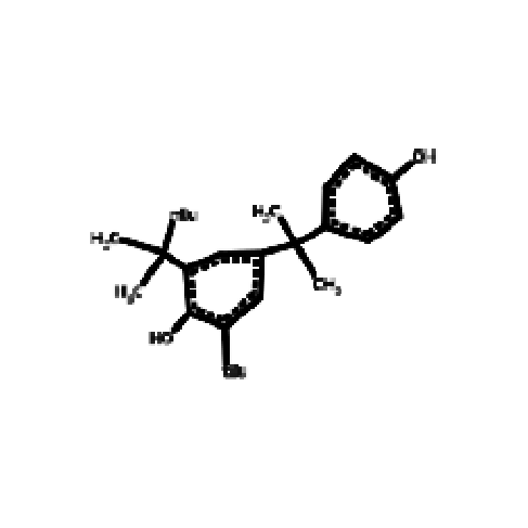 CCCCC(C)(C)c1cc(C(C)(C)c2ccc(O)cc2)cc(C(C)(C)C)c1O